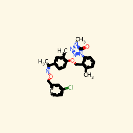 CC(=NOCc1cccc(Cl)c1)c1ccc(OCc2c(C)cccc2-n2nnn(C)c2=O)c(C)c1